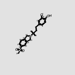 CC(C)(CCc1ccc(O)c(Cl)c1)N1Cc2ccc(S(C)(=O)=O)cc2C1